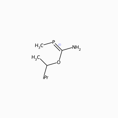 C/P=C(/N)OC(C)C(C)C